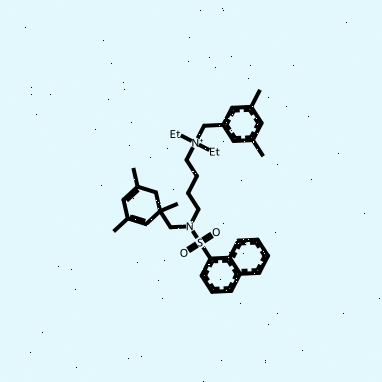 CC[N+](CC)(CCCCN(CC1(C)C=C(C)C=C(C)C1)S(=O)(=O)c1cccc2ccccc12)Cc1cc(C)cc(C)c1